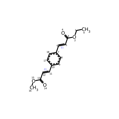 CCOC(=O)/C=C/c1ccc(/C=C/C(=O)OC)cc1